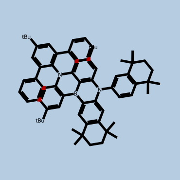 CC(C)(C)c1ccc2c(c1)B1c3cc4c(cc3N(c3ccc5c(c3)C(C)(C)CCC5(C)C)c3cc(C(C)(C)C)cc(c31)N2c1c(-c2ccccc2)cc(C(C)(C)C)cc1-c1ccccc1)C(C)(C)CCC4(C)C